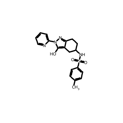 Cc1ccc(S(=O)(=O)NC2CCc3nn(-c4ccccn4)c(O)c3C2)cc1